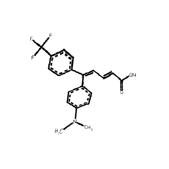 CN(C)c1ccc(/C(=C\C=C\C(=O)O)c2ccc(C(F)(F)F)cc2)cc1